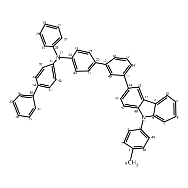 Cc1ccc(-n2c3ccccc3c3cc(-c4cccc(-c5ccc(N(c6ccccc6)c6ccc(-c7ccccc7)cc6)cc5)c4)ccc32)cc1